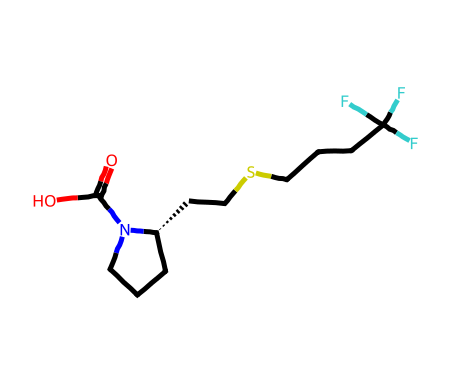 O=C(O)N1CCC[C@H]1CCSCCCC(F)(F)F